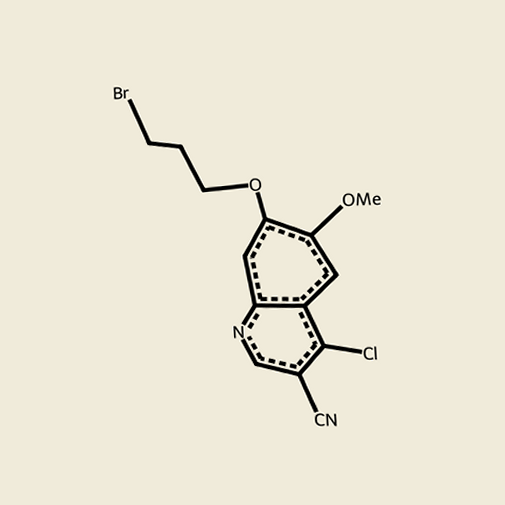 COc1cc2c(Cl)c(C#N)cnc2cc1OCCCBr